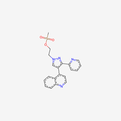 CS(=O)(=O)OCCn1cc(-c2ccnc3ccccc23)c(-c2ccccn2)n1